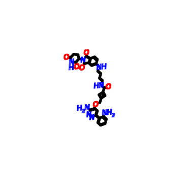 Nc1ccccc1-c1cc(OCC23CC(C(=O)NCCCCNc4ccc5c(c4)C(=O)N(C4CCC(=O)NC4=O)C5=O)(C2)C3)c(N)nn1